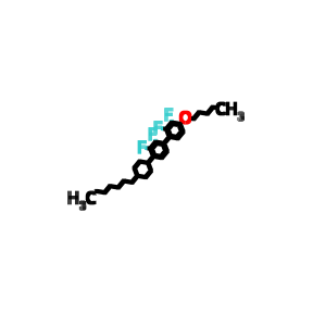 CCCCCCCC1CCC(c2ccc(-c3ccc(OCCCCC)c(F)c3F)c(F)c2F)CC1